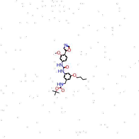 CCCCOc1cc(CNC(=O)OC(C)(C)C)cc(NC(=O)Nc2ccc(-c3cnco3)c(OC)c2)c1